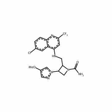 COc1cnn(C2CN(C(N)=O)C2CNc2cc(C(F)(F)F)nc3ccc(Cl)cc23)c1